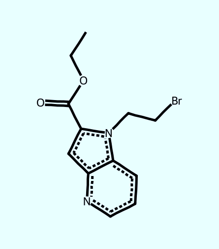 CCOC(=O)c1cc2ncccc2n1CCBr